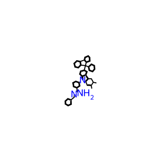 CC1=Cc2c(c3cc(C4(c5ccccc5)c5ccccc5-c5ccccc54)ccc3n2-c2cccc(/C(N)=N/Cc3ccccc3)c2)CC1C